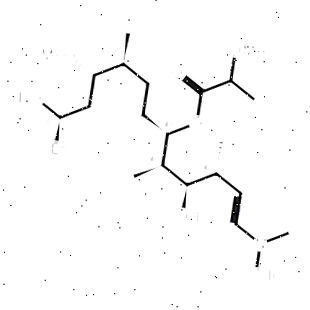 CC[C@@H](O)C[C@H](OC)[C@@H](C)CC[C@@H](OC(=O)C(C)OC)[C@H](C)[C@H](O)[C@H](C)/C=C/N(C)C=O